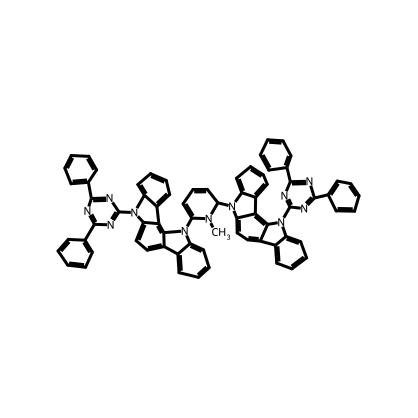 CN1C(n2c3ccccc3c3ccc4c(c5ccccc5n4-c4nc(-c5ccccc5)nc(-c5ccccc5)n4)c32)=CC=CC1n1c2ccccc2c2c3c(ccc21)c1ccccc1n3-c1nc(-c2ccccc2)nc(-c2ccccc2)n1